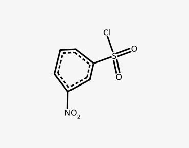 O=[N+]([O-])c1[c]ccc(S(=O)(=O)Cl)c1